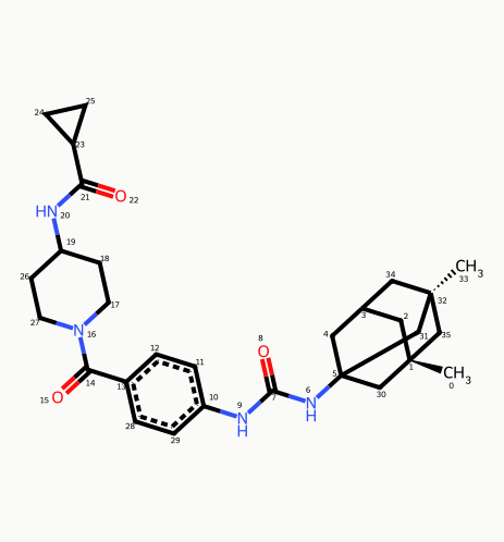 C[C@]12CC3CC(NC(=O)Nc4ccc(C(=O)N5CCC(NC(=O)C6CC6)CC5)cc4)(C1)C[C@@](C)(C3)C2